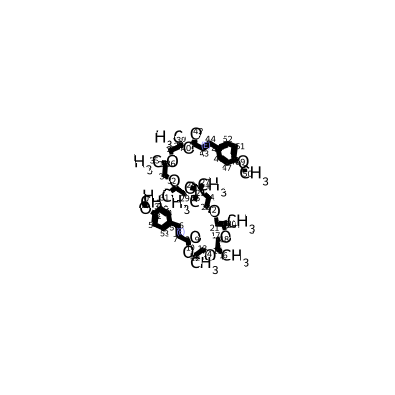 COc1ccc(/C=C/C(=O)OC(C)COC(C)COC(C)COCC[N+](C)(C)OCC(C)OCC(C)OCC(C)OC(=O)/C=C/c2ccc(OC)cc2)cc1